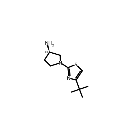 CC(C)(C)c1csc(N2CC[C@@H](N)C2)n1